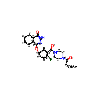 COCC(=O)N1CCN(C(=O)c2cc(Oc3n[nH]c(=O)c4ccccc34)ccc2F)CC1